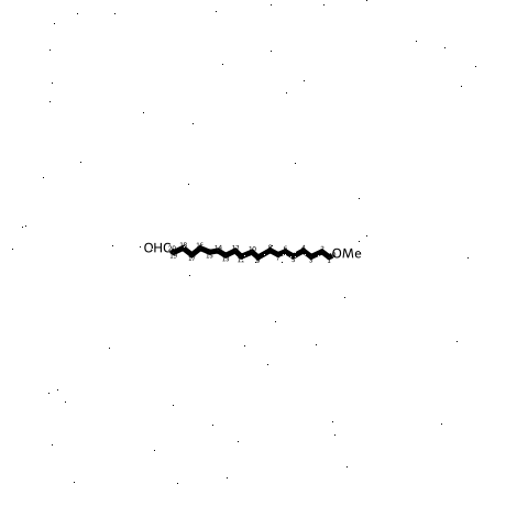 COCCCCCCCCCCCCCCCCCCCC=O